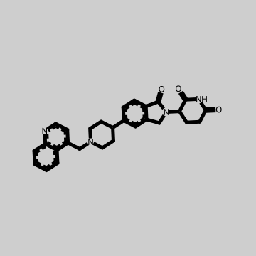 O=C1CCC(N2Cc3cc(C4CCN(Cc5ccnc6ccccc56)CC4)ccc3C2=O)C(=O)N1